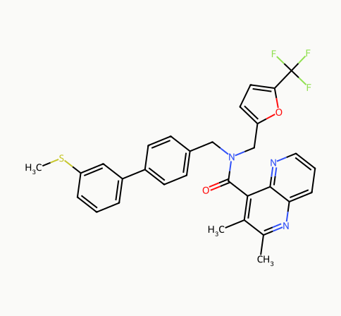 CSc1cccc(-c2ccc(CN(Cc3ccc(C(F)(F)F)o3)C(=O)c3c(C)c(C)nc4cccnc34)cc2)c1